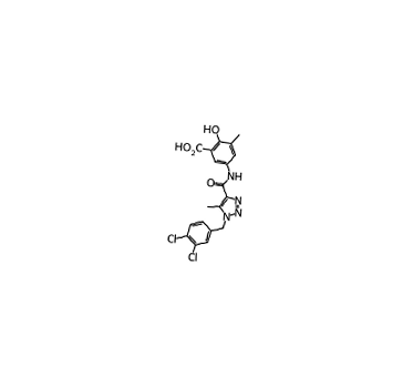 Cc1cc(NC(=O)c2nnn(Cc3ccc(Cl)c(Cl)c3)c2C)cc(C(=O)O)c1O